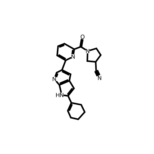 N#CC1CCN(C(=O)c2cccc(-c3cnc4[nH]c(C5=CCCCC5)cc4c3)n2)C1